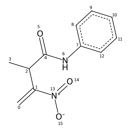 C=C(C(C)C(=O)Nc1ccccc1)[N+](=O)[O-]